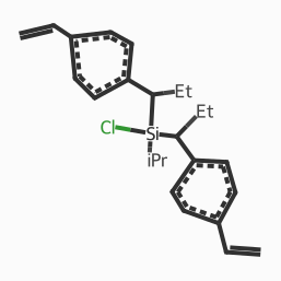 C=Cc1ccc(C(CC)[Si](Cl)(C(C)C)C(CC)c2ccc(C=C)cc2)cc1